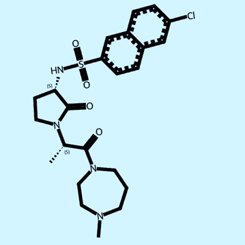 C[C@@H](C(=O)N1CCCN(C)CC1)N1CC[C@H](NS(=O)(=O)c2ccc3cc(Cl)ccc3c2)C1=O